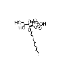 CCCCCCCCCCOC1=C(OP(=O)(O)O)C(=O)O[C@@H]1[C@@H](O)CO